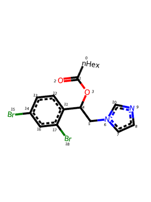 CCCCCCC(=O)OC(Cn1ccnc1)c1ccc(Br)cc1Br